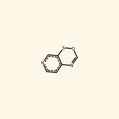 C1=Nc2ccncc2SO1